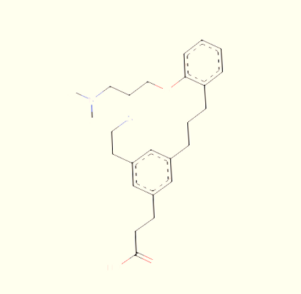 CN(C)CCCOc1ccccc1CCCc1cc(CCN)cc(CCC(=O)O)c1